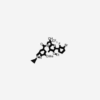 CCOc1c(C)cc([C@](O)(CNC(=O)c2cc(OC)c3nn(C4CC4)cc3c2)C(F)(F)F)nc1-c1cccc(Br)c1F